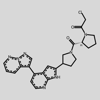 O=C([C@H]1CCCN1C(=O)CCl)N1CCC(c2cc3c(-c4cnn5ncccc45)ccnc3[nH]2)C1